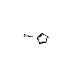 CC(C)C.c1ccsc1